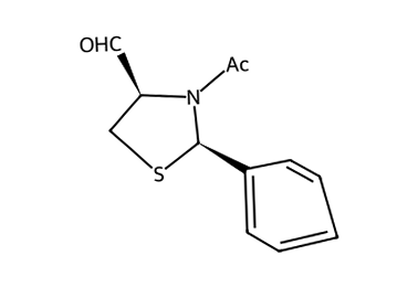 CC(=O)N1[C@H](C=O)CS[C@@H]1c1ccccc1